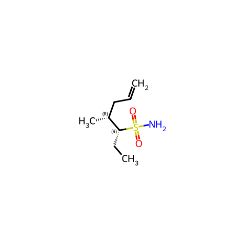 C=CC[C@@H](C)[C@@H](CC)S(N)(=O)=O